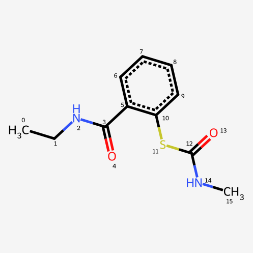 CCNC(=O)c1ccccc1SC(=O)NC